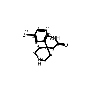 O=C1CC2(CCNCC2)c2cc(Br)ccc2N1